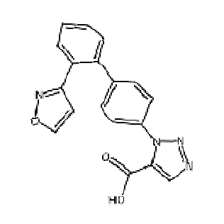 O=C(O)c1cnnn1-c1ccc(-c2ccccc2-c2ccon2)cc1